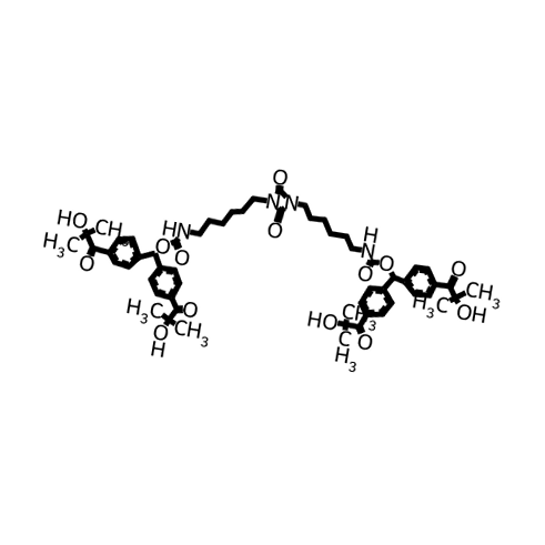 CC(C)(O)C(=O)c1ccc(C(OC(=O)NCCCCCCN2C(=O)N(CCCCCCNC(=O)OC(c3ccc(C(=O)C(C)(C)O)cc3)c3ccc(C(=O)C(C)(C)O)cc3)C2=O)c2ccc(C(=O)C(C)(C)O)cc2)cc1